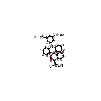 CCCCCCc1cc(CCCCCC)cc(N2c3ccccc3C3(c4ccccc4C(=C(C#N)C#N)c4ccccc43)c3ccccc32)c1